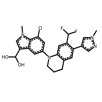 Cn1cc(-c2cc3c(cc2C(F)F)N(c2cc(Cl)c4c(c2)c(C(O)O)cn4C)CCC3)cn1